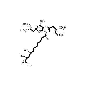 CCCC[C@@H](C)[C@@H](OC(=O)C[C@@H](CC(=O)O)C(=O)O)[C@H](C[C@@H](C)CCCCCC[C@@H](O)C[C@H](O)[C@H](C)N)OC(=O)C[C@@H](CC(=O)O)C(=O)O